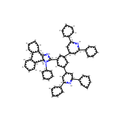 c1ccc(-c2cc(-c3cc(-c4cc(-c5ccccc5)nc(-c5ccccc5)c4)cc(-c4nc5c6ccccc6c6ccccc6c5n4-c4ccccc4)c3)cc(-c3ccccc3)n2)cc1